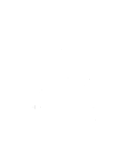 Cc1c(CC(=O)O)ccc(CC2COC(C)(C)O2)c1C(=O)c1ccc(Cl)cc1